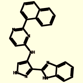 c1ccc2c(-c3nccc(Nc4c[nH]nc4-c4nc5ccccc5[nH]4)n3)cccc2c1